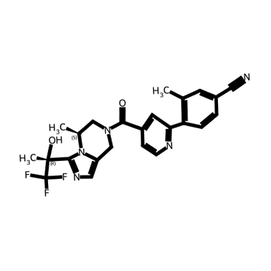 Cc1cc(C#N)ccc1-c1cc(C(=O)N2Cc3cnc([C@@](C)(O)C(F)(F)F)n3[C@@H](C)C2)ccn1